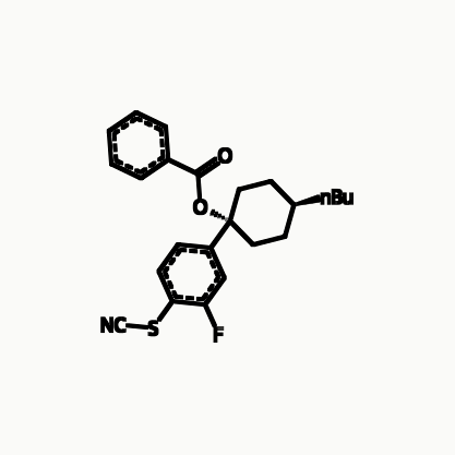 CCCC[C@H]1CC[C@@](OC(=O)c2ccccc2)(c2ccc(SC#N)c(F)c2)CC1